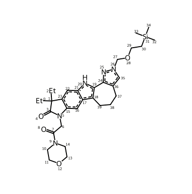 CCC1(CC)C(=O)N(CC(=O)N2CCOCC2)c2cc3c4c([nH]c3cc21)-c1nn(COCC[Si](C)(C)C)cc1CCC4